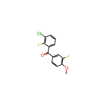 COc1ccc(C(=O)c2cccc(Cl)c2F)cc1F